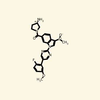 COc1ccc(F)c(-c2cnc(-n3cc([S+](C)[O-])c4ccc(C(=O)N5CC[C@@H](N)C5)cc43)nc2)c1